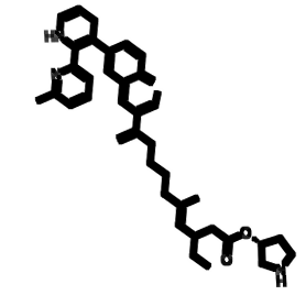 C=C(CCCC/C(C)=C/C(CC)CC(=O)O[C@@H]1CCNC1)C(/C=c1/cc(C2=C(c3cccc(C)n3)NC=CC2)ccc1=C)=C/C